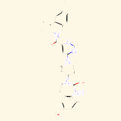 CCc1cc(F)ccc1CN(C)C(=O)c1cc(N2CCC(N3CCc4cc(OC)ccc4NC3=O)CC2)ncn1